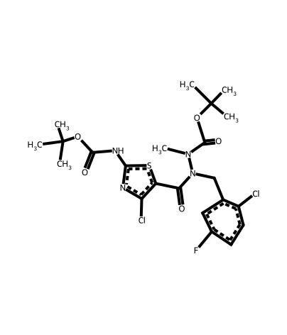 CN(C(=O)OC(C)(C)C)N(Cc1cc(F)ccc1Cl)C(=O)c1sc(NC(=O)OC(C)(C)C)nc1Cl